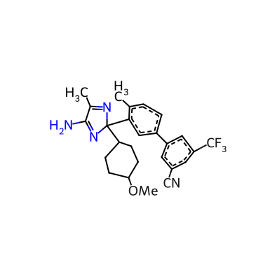 COC1CCC(C2(c3cc(-c4cc(C#N)cc(C(F)(F)F)c4)ccc3C)N=C(C)C(N)=N2)CC1